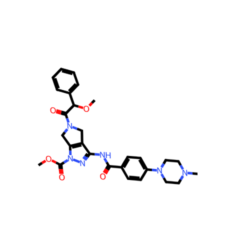 COC(=O)n1nc(NC(=O)c2ccc(N3CCN(C)CC3)cc2)c2c1CN(C(=O)C(OC)c1ccccc1)C2